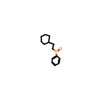 O=[PH](CCC1CCCCC1)c1ccccc1